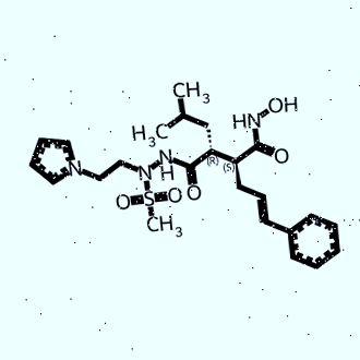 CC(C)C[C@@H](C(=O)NN(CCn1cccc1)S(C)(=O)=O)[C@H](CC=Cc1ccccc1)C(=O)NO